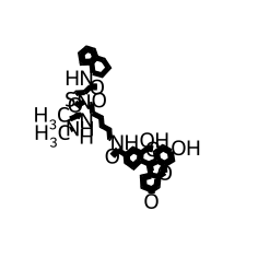 CNC(C)C(=O)NC(CCCCNC(=O)c1ccc(-c2c3ccc(=O)cc-3oc3cc(O)ccc23)c(C(=O)O)c1)C(=O)N1CSCC1C(=O)NC1CCCc2ccccc21